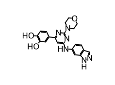 Oc1ccc(-c2cc(Nc3ccc4cn[nH]c4c3)nc(N3CCOCC3)n2)cc1O